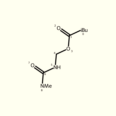 CCC(C)C(=O)OCNC(=O)NC